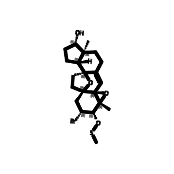 CSO[C@@H]1[C@H](Br)C[C@@]23CC[C@@]4(O2)C(=C[C@@]32O[C@]12C)CC[C@@]1(C)[C@H]4CC[C@@H]1O